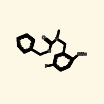 COc1ccc(F)cc1CN(C)C(=O)OCc1ccccc1